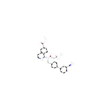 COC(=O)c1ccc2c(N(Cc3ccc(-c4ccc(Cl)c(C#N)c4)cc3)C(=O)CC(C)(C)C)nccc2c1